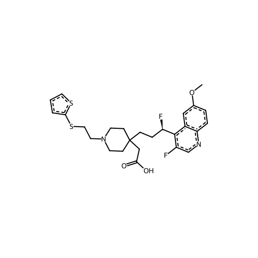 COc1ccc2ncc(F)c([C@H](F)CCC3(CC(=O)O)CCN(CCSc4cccs4)CC3)c2c1